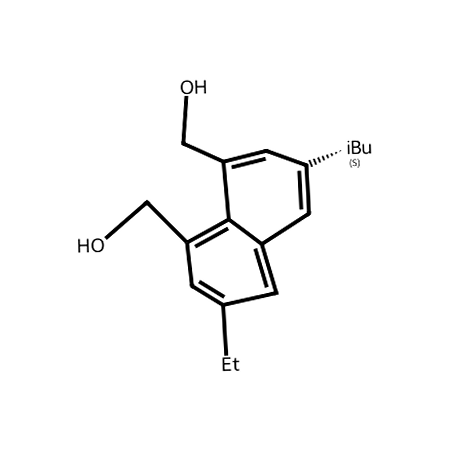 CCc1cc(CO)c2c(CO)cc([C@@H](C)CC)cc2c1